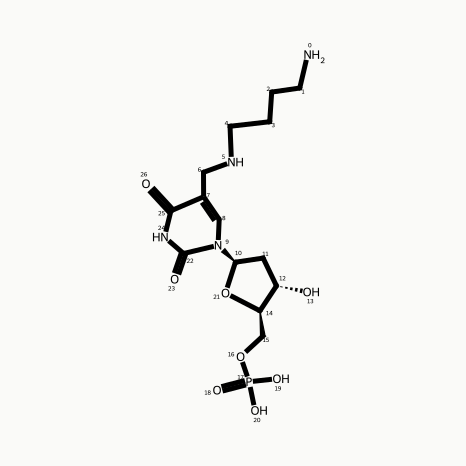 NCCCCNCc1cn([C@H]2C[C@H](O)[C@@H](COP(=O)(O)O)O2)c(=O)[nH]c1=O